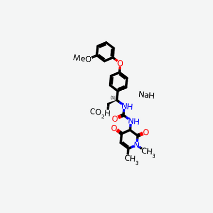 COc1cccc(Oc2ccc([C@H](CC(=O)O)NC(=O)NC3C(=O)C=C(C)N(C)C3=O)cc2)c1.[NaH]